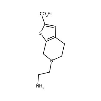 CCOC(=O)c1cc2c(s1)CN(CCN)CC2